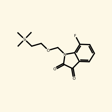 C[Si](C)(C)CCOCN1C(=O)C(=O)c2cccc(F)c21